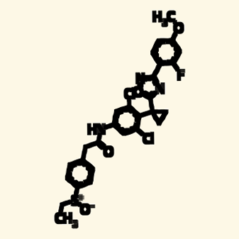 CC[S+]([O-])c1ccc(CC(=O)Nc2cc(Cl)c(C3(c4nc(-c5ccc(OC)cc5F)no4)CC3)c(Cl)c2)cc1